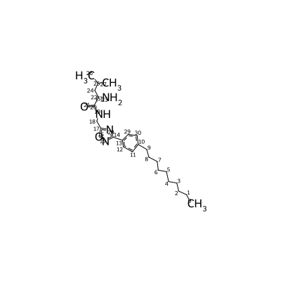 CCCCCCCCCCc1ccc(-c2noc(CNC(=O)[C@@H](N)CC(C)C)n2)cc1